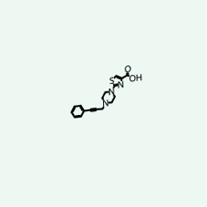 O=C(O)c1csc(N2CCN(CC#Cc3ccccc3)CC2)n1